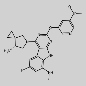 CNc1cc(F)cc2c1[nH]c1nc(Oc3cncc([S+](C)[O-])c3)nc(N3C[C@H](N)C4(CC4)C3)c12